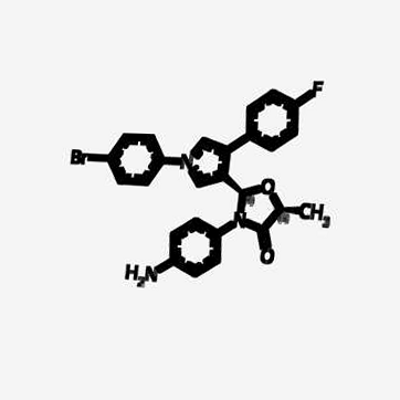 C[C@@H]1O[C@H](c2cn(-c3ccc(Br)cc3)cc2-c2ccc(F)cc2)N(c2ccc(N)cc2)C1=O